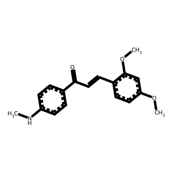 CNc1ccc(C(=O)C=Cc2ccc(OC)cc2OC)cc1